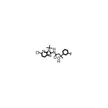 CC(O)(CC(=O)Nc1nc2ccc(Cl)nc2n1C(C)(C)C)c1cccc(F)c1